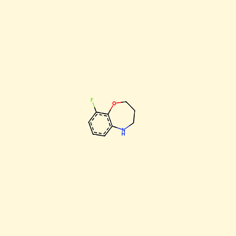 Fc1cccc2c1OCCCN2